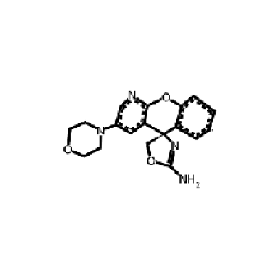 NC1=N[C@@]2(CO1)c1c[c]ccc1Oc1ncc(N3CCOCC3)cc12